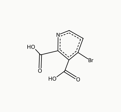 O=C(O)c1nccc(Br)c1C(=O)O